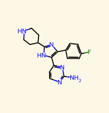 Nc1nccc(-c2[nH]c(C3CCNCC3)nc2-c2ccc(F)cc2)n1